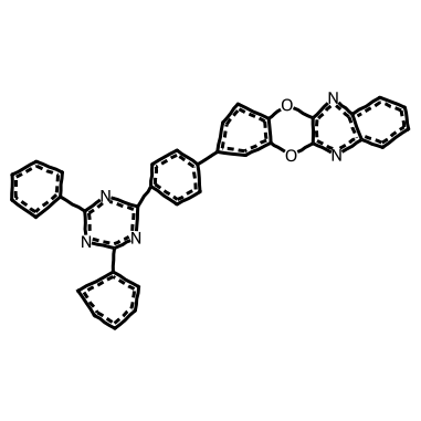 c1ccc(-c2nc(-c3ccccc3)nc(-c3ccc(-c4ccc5c(c4)Oc4nc6ccccc6nc4O5)cc3)n2)cc1